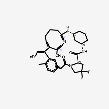 C=CC(=O)N1CC(F)(F)C[C@H]1C(=O)N[C@H]1CCC[C@@H](N/C2=N/C=C(C#N)\C(C(=C\CCC)\c3ccccc3C)=C/CCC2)C1